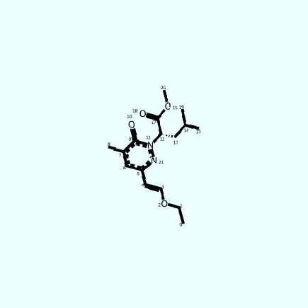 CCO/C=C/c1cc(C)c(=O)n([C@@H](CC(C)C)C(=O)OC)n1